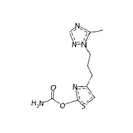 Cc1ncnn1CCCc1csc(OC(N)=O)n1